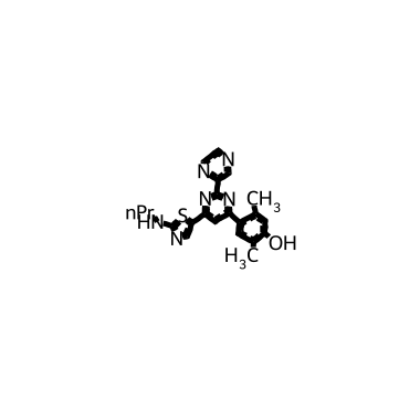 CCCNc1ncc(-c2cc(-c3cc(C)c(O)cc3C)nc(-c3cnccn3)n2)s1